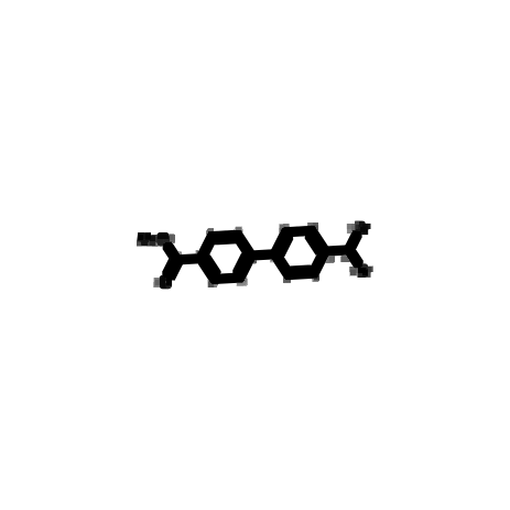 COC(=O)c1ccc(-c2ccc(C(Br)Br)cc2)cc1